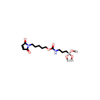 CCO[Si](CCCNC(=O)OCCCCCN1C(=O)C=CC1=O)(OCC)OCC